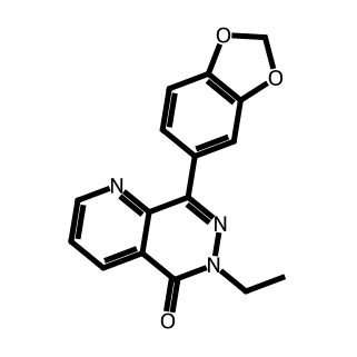 CCn1nc(-c2ccc3c(c2)OCO3)c2ncccc2c1=O